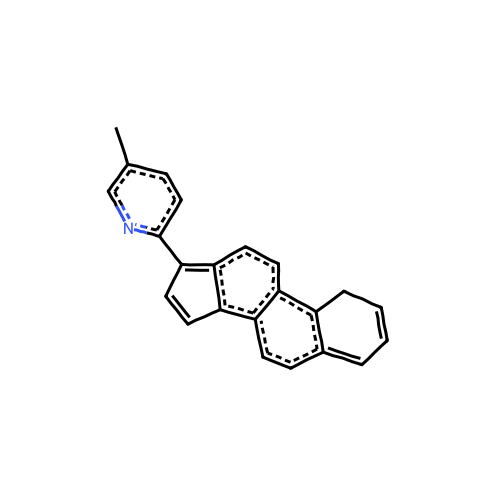 Cc1ccc(C2=c3ccc4c5c(ccc4c3C=C2)=CC=CC5)nc1